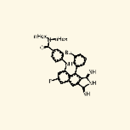 CCCCCCN(CCCCCC)C(=O)c1ccc(Nc2cc(F)cc3cc4c(c(-c5cccc(CCCC)c5)c23)C(=N)NC4=N)cc1